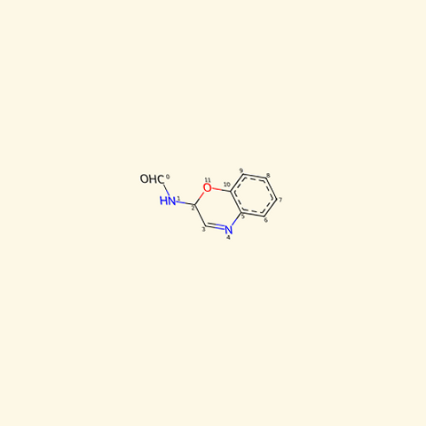 O=CNC1C=Nc2ccccc2O1